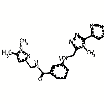 Cc1cc(CNC(=O)c2cccc(NCc3nnc(-c4ccncn4)n3C)c2)nn1C